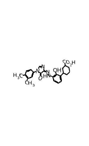 Cc1ccc(N2C=N/C(=N/Nc3cccc(C4CCCC(C(=O)O)C4)c3O)C2=O)cc1C